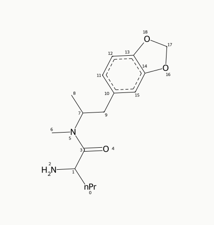 CCCC(N)C(=O)N(C)C(C)Cc1ccc2c(c1)OCO2